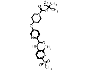 Cc1nc(S(C)(=O)=O)ccc1NC(=O)c1ccc(OC2CCN(C(=O)OC(C)(C)C)CC2)cn1